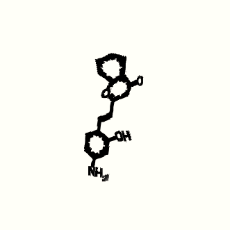 Nc1ccc(C=Cc2cc(=O)c3ccccc3o2)c(O)c1